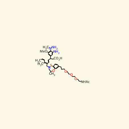 C\C=C/C(C)=C(\C=C\C(CC(=O)O)c1cc(N)c(N(C)N)c(OC)c1)CN1CC(C)Oc2cc(CCCOCCOCCOCCNC(C)=O)ccc2S1